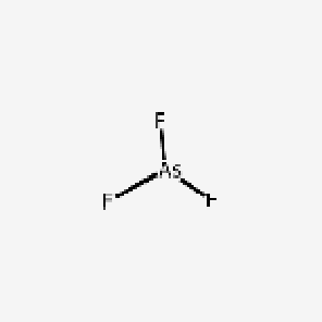 F[As](F)F